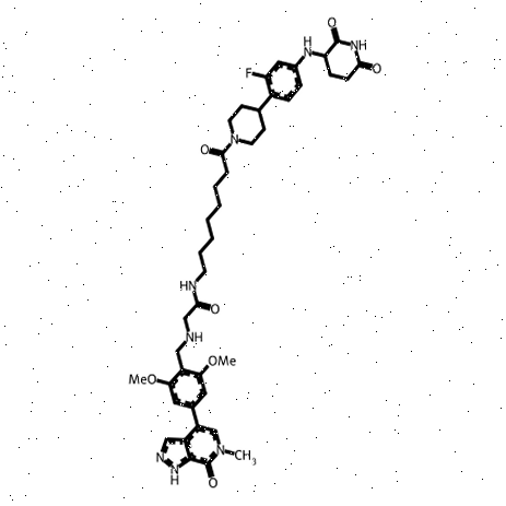 COc1cc(-c2cn(C)c(=O)c3[nH]ncc23)cc(OC)c1CNCC(=O)NCCCCCCCC(=O)N1CCC(c2ccc(NC3CCC(=O)NC3=O)cc2F)CC1